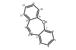 [C]1=Nc2ccccc2Oc2ccccc21